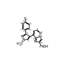 Cn1cc(-c2ccnn3cc(CO)nc23)c(-c2ccc(F)cc2)n1